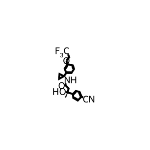 C[C@@](O)(CC(=O)NC1(c2cccc(OCC(F)(F)F)c2)CC1)c1ccc(C#N)cc1